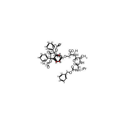 CC(C)[C@H](NC(=O)OCc1ccccc1)C(=O)N[C@@H](C)C(=O)N[C@@H](CC(=O)O)C(=O)O.O=[PH2]OC(C(=O)C(O[PH2]=O)(c1ccccc1)c1ccccc1)(c1ccccc1)c1ccccc1